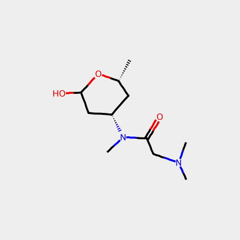 C[C@@H]1C[C@H](N(C)C(=O)CN(C)C)CC(O)O1